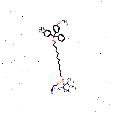 COc1ccc(C(OCCCCCCCCCCCCOP(OCCC#N)N(C(C)C)C(C)C)(c2ccccc2)c2ccc(OC)cc2)cc1